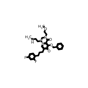 CNCCN1CN(CCOC)C(=O)c2c(OCc3ccccc3)c(=O)c(CCCc3ccc(F)cc3F)cn21